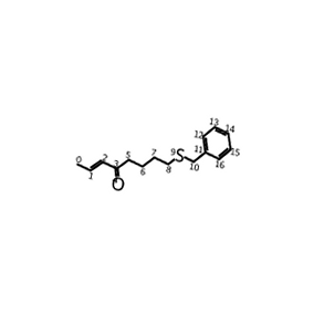 CC=CC(=O)CCCCSCc1ccccc1